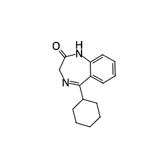 O=C1CN=C(C2CCCCC2)c2ccccc2N1